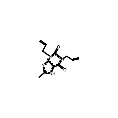 C=CCn1c(=O)c2[nH]c(C)nc2n(CC=C)c1=O